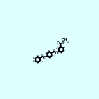 COC(=O)c1cccc(OCc2ccc(OCc3ccccc3)cc2)c1